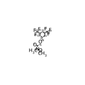 CON(C)C(=O)COCc1cc(C(F)(F)F)cc(C(F)(F)F)c1